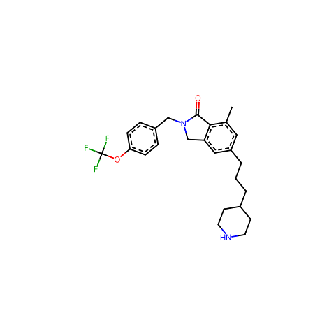 Cc1cc(CCCC2CCNCC2)cc2c1C(=O)N(Cc1ccc(OC(F)(F)F)cc1)C2